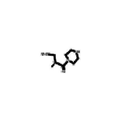 COC[C@H](C)C(=O)N1CCNCC1